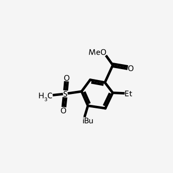 CCc1cc(C(C)CC)c(S(C)(=O)=O)cc1C(=O)OC